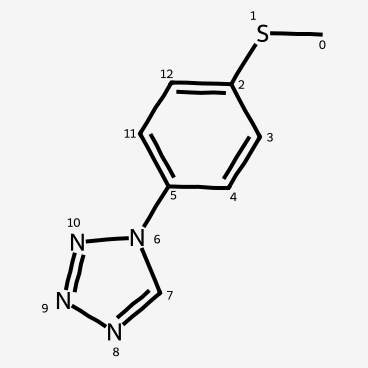 CSc1ccc(-n2cnnn2)cc1